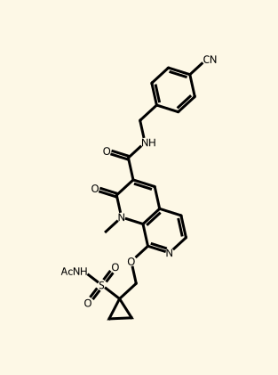 CC(=O)NS(=O)(=O)C1(COc2nccc3cc(C(=O)NCc4ccc(C#N)cc4)c(=O)n(C)c23)CC1